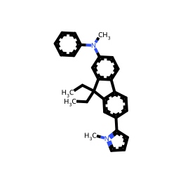 CCC1(CC)c2cc(-c3cccn3C)ccc2-c2ccc(N(C)c3ccccc3)cc21